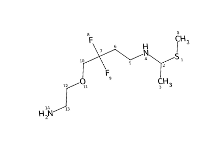 CSC(C)NCCC(F)(F)COCCN